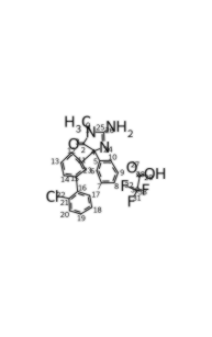 CN1C(=O)C(c2ccccc2)(c2cccc(-c3ccccc3Cl)c2)N=C1N.O=C(O)C(F)(F)F